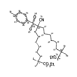 CCOC(=O)C(C)(C)CCCCCCC(C#N)(CCCCCCC(C)(C)C(=O)OCC)S(=O)(=O)c1ccc(C)cc1